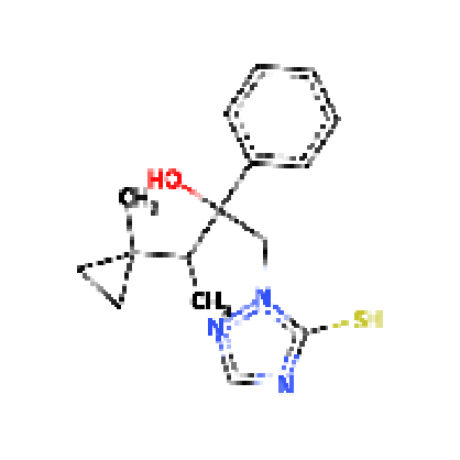 CC(C1(C)CC1)C(O)(Cn1ncnc1S)c1ccccc1